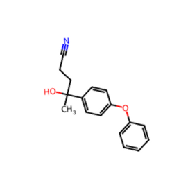 CC(O)(CCC#N)c1ccc(Oc2ccccc2)cc1